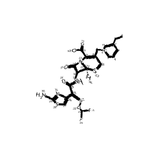 CCc1ccc[n+](CC2=C(C(=O)[O-])N3C(=O)C(NC(=O)C(=NOC(F)F)c4csc(N)n4)[C@@H]3SC2)c1